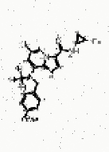 [2H]C([2H])([2H])N(Cc1ccc(OC)cc1)c1cc(Cl)nn2c(C(=O)N[C@@H]3C[C@@H]3F)cnc12